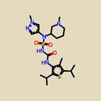 Cc1c(C(C)C)sc(C(C)C)c1NC(=O)NS(=O)(=O)N(c1cnn(C)c1)C1CCCN(C)C1